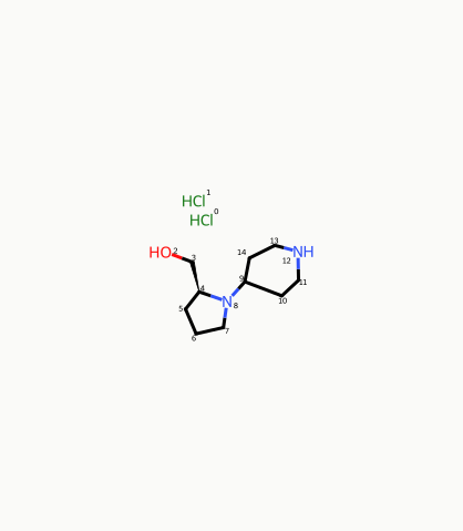 Cl.Cl.OC[C@@H]1CCCN1C1CCNCC1